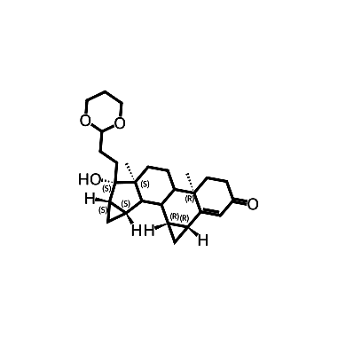 C[C@]12CCC(=O)C=C1[C@@H]1C[C@@H]1C1C2CC[C@@]2(C)C1[C@@H]1C[C@@H]1[C@@]2(O)CCC1OCCCO1